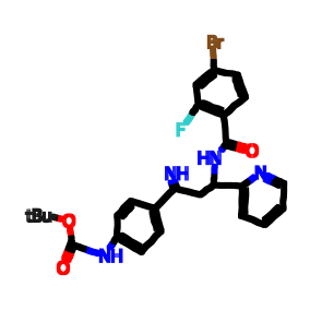 CC(C)(C)OC(=O)Nc1ccc(C(=N)CC(NC(=O)c2ccc(Br)cc2F)c2ccccn2)cc1